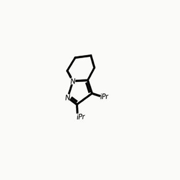 CC(C)c1nn2c(c1C(C)C)CCCC2